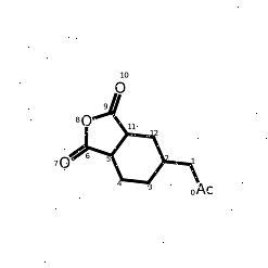 CC(=O)CC1CCC2C(=O)OC(=O)C2C1